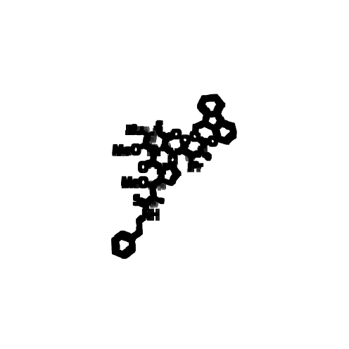 CC[C@H](C)[C@@H]([C@@H](CC(=O)N1CCC[C@H]1[C@H](OC)[C@@H](C)C(=S)NCCc1ccccc1)OC)N(C)C(=O)[C@@H](NC(=O)[C@H](C(C)C)N(C)C(=O)OCC1c2ccccc2-c2ccccc21)C(C)C